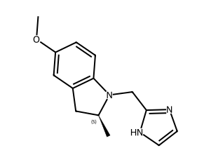 COc1ccc2c(c1)C[C@H](C)N2Cc1ncc[nH]1